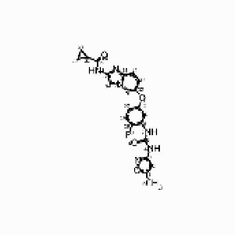 Cc1cc(NC(=O)Nc2cc(Oc3ccc4nc(NC(=O)C5CC5)cn4n3)ccc2F)no1